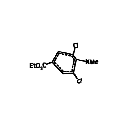 CCOC(=O)c1cc(Cl)c(NC)c(Cl)c1